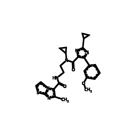 COc1cccc(-c2sc(C3CC3)nc2C(=O)N(CCNC(=O)c2c(C)nc3sccn23)C2CC2)c1